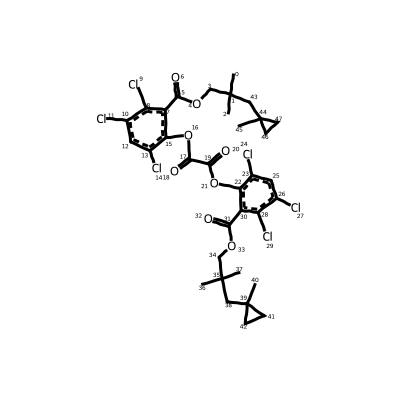 CC(C)(COC(=O)c1c(Cl)c(Cl)cc(Cl)c1OC(=O)C(=O)Oc1c(Cl)cc(Cl)c(Cl)c1C(=O)OCC(C)(C)CC1(C)CC1)CC1(C)CC1